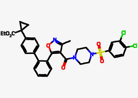 CCOC(=O)C1(c2ccc(-c3ccccc3-c3onc(C)c3C(=O)N3CCN(S(=O)(=O)c4ccc(Cl)c(Cl)c4)CC3)cc2)CC1